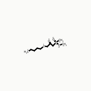 CCCCCOCC(=O)CP(C)(=O)OC